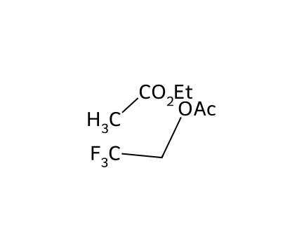 CC(=O)OCC(F)(F)F.CCOC(C)=O